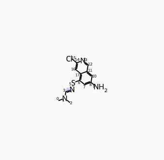 CN(C)/C=N/Sc1cc(N)cc2cnc(Cl)cc12